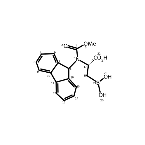 COC(=O)N(C1c2ccccc2-c2ccccc21)[C@@H](CB(O)O)C(=O)O